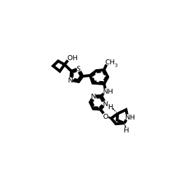 Cc1cc(Nc2nccc(O[C@@H]3C[C@H]4C[C@@H]3CN4)n2)cc(-c2cnc(C3(O)CCC3)s2)c1